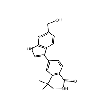 CC1(C)CNC(=O)c2ccc(-c3c[nH]c4nc(CO)ccc34)cc21